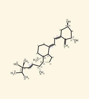 C=C1/C(=C\C=C2/CCC[C@@]3(C)C2CC[C@@H]3[C@H](C)/C=C/[C@@](C)(O)C(C)C)C[C@@H](O)C[C@@H]1O